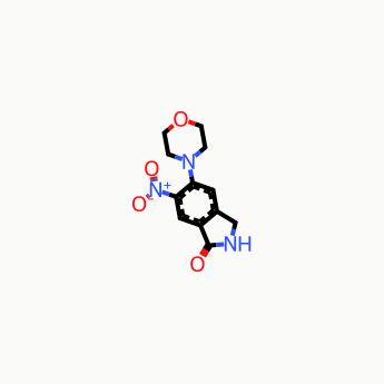 O=C1NCc2cc(N3CCOCC3)c([N+](=O)[O-])cc21